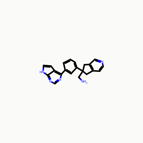 NCC1(c2cccc(-c3ncnc4[nH]ccc34)c2)Cc2ccncc2C1